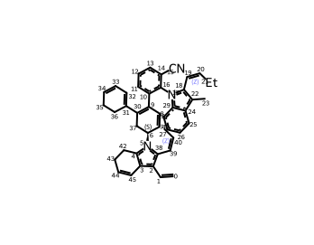 C=Cc1c2c(n([C@@H]3C=CC(c4cccc(C#N)c4-n4c(/C=C\CC)c(C)c5ccccc54)=C(C4=CC=CCC4)C3)c1/C=C\C)CCC=C2